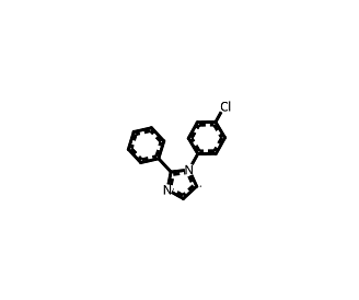 Clc1ccc(-n2[c]cnc2-c2ccccc2)cc1